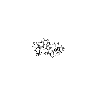 COC([C@H]1CCC[C@@H](S(=O)(=O)c2ncccn2)C1)[C@@H]1CC[C@H]1CN1CC2(CCCc3cc(Cl)ccc32)COc2ccc(C(=O)O)cc21